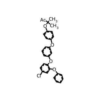 CC(=O)C(C)(C)Oc1ccc(Oc2cccc(Oc3ccc(Cl)cc3Oc3ccccc3)c2)cc1